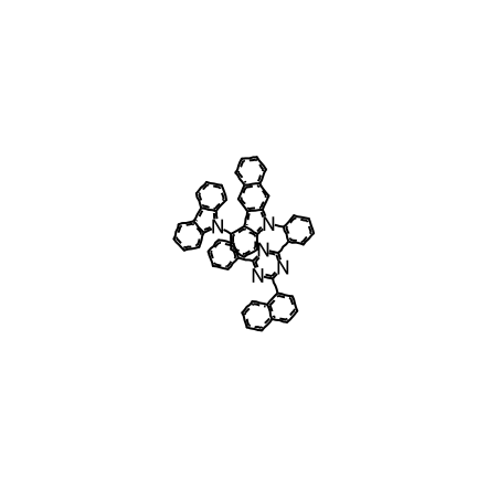 c1ccc(-c2nc(-c3ccccc3-n3c4cc5ccccc5cc4c4c(-n5c6ccccc6c6ccccc65)cccc43)nc(-c3cccc4ccccc34)n2)cc1